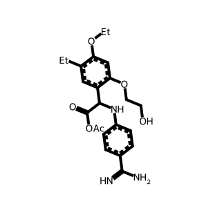 CCOc1cc(OCCO)c(C(Nc2ccc(C(=N)N)cc2)C(=O)OC(C)=O)cc1CC